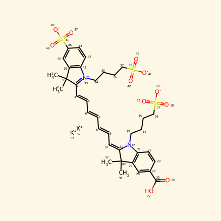 CC1(C)C(/C=C/C=C/C=C/C=C2\N(CCCCS(=O)(=O)[O-])c3ccc(C(=O)O)cc3C2(C)C)=[N+](CCCCS(=O)(=O)[O-])c2ccc(S(=O)(=O)[O-])cc21.[K+].[K+]